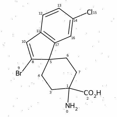 NC1(C(=O)O)CCC2(CC1)C(Br)=Cc1ccc(Cl)cc12